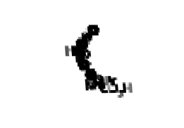 CC(C)[C@@H](NS(=O)(=O)c1ccc(-c2ccc(OC(=O)Nc3ccc(OCc4ccccc4)cc3)cc2)cc1)C(=O)O